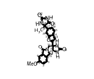 COc1ccc2c(c1)C(=O)N(C[C@@]1(c3cc4ccc(C5(C)NC(=O)NC5=O)cc4o3)NC(=O)NC1=O)C2